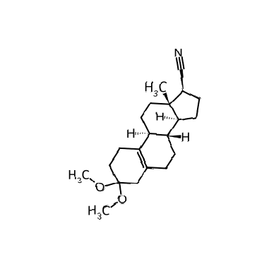 COC1(OC)CCC2=C(CC[C@@H]3[C@@H]2CC[C@]2(C)[C@@H](C#N)CC[C@@H]32)C1